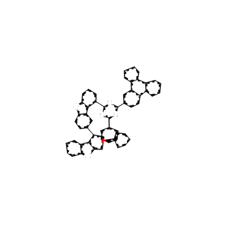 c1ccc(-c2cc(-c3ccc4oc5cccc(-c6nc(-c7ccccc7)nc(-c7ccc8c9ccccc9c9ccccc9c8c7)n6)c5c4c3)c3c(c2)oc2ccccc23)cc1